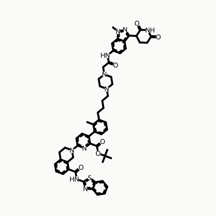 Cc1c(CCCCN2CCN(CC(=O)Nc3ccc4c(C5CCC(=O)NC5=O)nn(C)c4c3)CC2)cccc1-c1ccc(N2CCc3cccc(C(=O)Nc4nc5ccccc5s4)c3C2)nc1C(=O)OC(C)(C)C